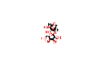 OC[C@H]1O[C@@H](O[C@H]2[C@H](O)[C@@H](O)[C@@H]3OC[C@H]2O3)[C@H](O)[C@@H](O)[C@@H]1O